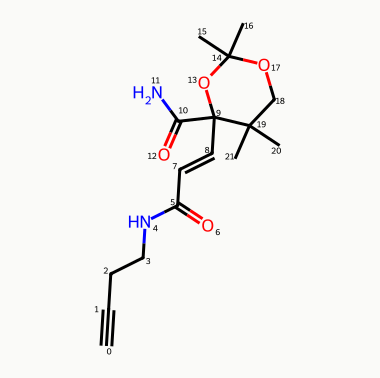 C#CCCNC(=O)C=CC1(C(N)=O)OC(C)(C)OCC1(C)C